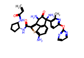 C=CC(=O)N[C@H]1CCC[C@H]1NC(=O)c1sc2c(N)ccc3c2c1C(N)C(=O)C3(N)c1ccc(Oc2ncccn2)nc1C